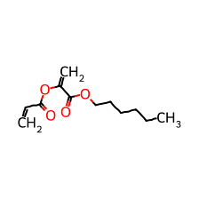 C=CC(=O)OC(=C)C(=O)OCCCCCC